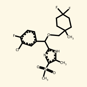 Cc1[nH]c(C(OCC2(C)CCC(F)(F)CC2)c2ccc(F)c(Cl)c2)nc1S(C)(=O)=O